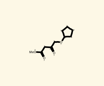 COC(=O)CC(=O)COC1CCCC1